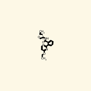 C=CC[C@@H](C=O)NC(=O)c1ccccc1-c1nccc(OCC)n1